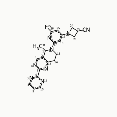 CC1c2cnc(-c3ncccn3)nc2CCN1c1cc(N2CC(C#N)C2)cc(F)n1